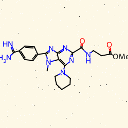 COC(=O)CCNC(=O)c1nc(N2CCCCC2)c2c(n1)nc(-c1ccc(C(=N)N)cc1)n2C